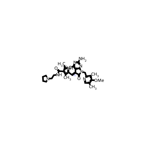 COc1c(C)cnc(CN2C(=O)/C(=C/c3[nH]c(C)c(C(=O)NCCN4CCCC4)c3C)c3c2nc(N)nc3C(F)(F)F)c1C